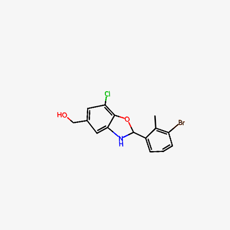 Cc1c(Br)cccc1C1Nc2cc(CO)cc(Cl)c2O1